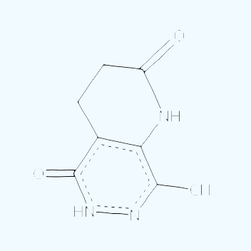 Cc1n[nH]c(=O)c2c1NC(=O)CC2